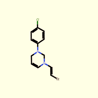 CCC=CN1C=CCN(c2ccc(Cl)cc2)C1